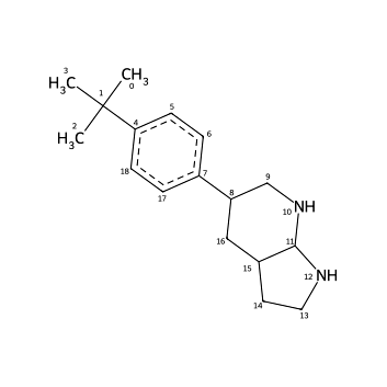 CC(C)(C)c1ccc(C2CNC3NCCC3C2)cc1